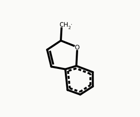 [CH2]C1C=Cc2ccccc2O1